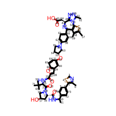 Cc1ncsc1-c1ccc(C(C)NC(=O)[C@@H]2C[C@@H](O)CN2C(=O)C(NC(=O)c2cc3cc(O[C@@H]4CCN(c5ccc(C6=N[C@@H](CC(=O)O)c7nnc(C)n7-c7sc(C)c(C)c76)cc5)C4)ccc3o2)C(C)(C)C)cc1